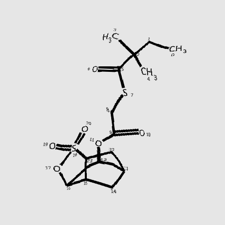 CCC(C)(C)C(=O)SCC(=O)OC1C2CC3C1OS(=O)(=O)C3C2